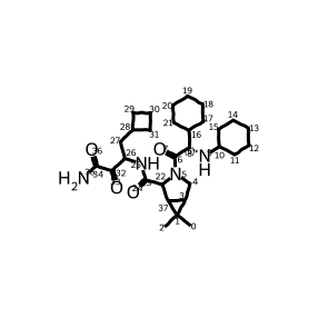 CC1(C)C2CN(C(=O)[C@@H](NC3CCCCC3)C3CCCCC3)C(C(=O)NC(CC3CCC3)C(=O)C(N)=O)C21